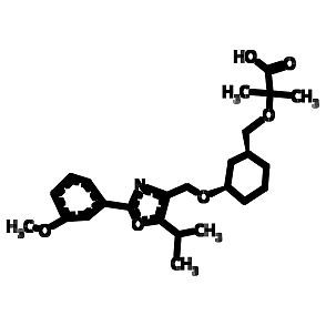 COc1cccc(-c2nc(CO[C@@H]3CCC[C@H](COC(C)(C)C(=O)O)C3)c(C(C)C)o2)c1